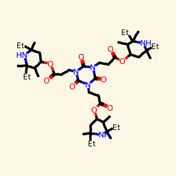 CCC1(C)CC(OC(=O)CCn2c(=O)n(CCC(=O)OC3CC(C)(CC)NC(C)(CC)C3C)c(=O)n(CCC(=O)OC3CC(C)(CC)NC(C)(CC)C3C)c2=O)C(C)C(C)(CC)N1